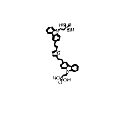 O=P(O)(O)CCn1c2ccccc2c2cc(/C=C/c3ccc(/C=C/c4ccc5c(c4)c4ccccc4n5CCP(=O)(O)O)o3)ccc21